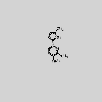 CNc1ccc(-c2ccc(C)[nH]2)nc1C